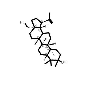 C=C(C)[C@@H]1CC[C@]2(CO)CC[C@]3(C)C(CC[C@@H]4[C@@]5(C)CCC(C)(O)C(C)(C)[C@@H]5CC[C@]43C)[C@@H]12